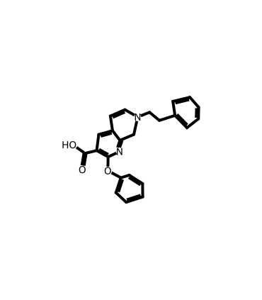 O=C(O)c1cc2c(nc1Oc1ccccc1)CN(CCc1ccccc1)C=C2